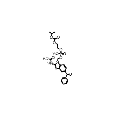 CC(C)OC(=O)OCCOP(=O)(O)OCn1c(NC(=O)O)nc2cc(C(=O)c3ccccc3)ccc21